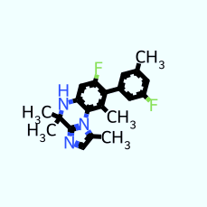 Cc1cc(F)cc(-c2c(F)cc3c(c2C)-n2c(C)cnc2C(C)(C)N3)c1